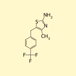 Cc1nc(N)sc1Cc1ccc(C(F)(F)F)cc1